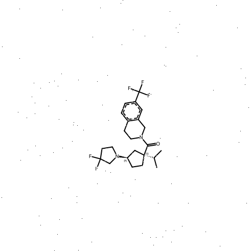 CC(C)[C@]1(C(=O)N2CCc3ccc(C(F)(F)F)cc3C2)CC[C@@H](N2CCC(F)(F)C2)C1